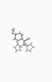 O=Cc1ccc(C(=O)N(C2CCCC2)C2CCCC2)cc1